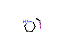 C1CCNCC1.CCI